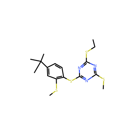 CCSc1nc(SC)nc(Sc2ccc(C(C)(C)C)cc2SC)n1